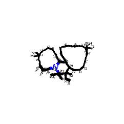 BC1(C)CCCCCC2C3CCCCC(C)(C)CCCCN3C(C)(C)C(C)(C=C)C2CCCCC1